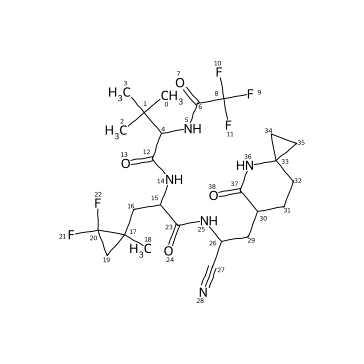 CC(C)(C)C(NC(=O)C(F)(F)F)C(=O)NC(CC1(C)CC1(F)F)C(=O)NC(C#N)CC1CCC2(CC2)NC1=O